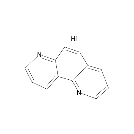 I.c1cnc2c(c1)ccc1ncccc12